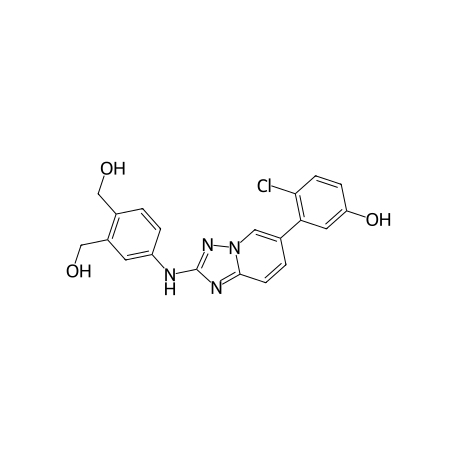 OCc1ccc(Nc2nc3ccc(-c4cc(O)ccc4Cl)cn3n2)cc1CO